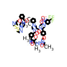 CC1=CN(COc2ccc(C3CN(c4ccc(C(F)(F)F)cc4[N+](=O)[O-])CCN3C(=O)C3CN(c4cccc(C)c4C)CCN3C(=O)c3ccccc3OCc3c(C)noc3C)cc2)NO1.O=C(c1ccccc1OCc1cscn1)N1CCN(c2nccs2)CC1